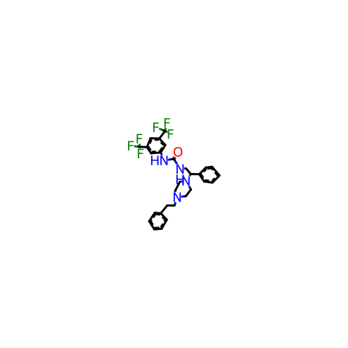 O=C(NCC(c1ccccc1)N1CCN(CCc2ccccc2)CC1)Nc1cc(C(F)(F)F)cc(C(F)(F)F)c1